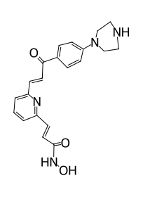 O=C(/C=C/c1cccc(/C=C/C(=O)c2ccc(N3CCNCC3)cc2)n1)NO